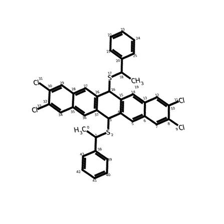 CC(SC1c2cc3cc(Cl)c(Cl)cc3cc2C(SC(C)c2ccccc2)c2cc3cc(Cl)c(Cl)cc3cc21)c1ccccc1